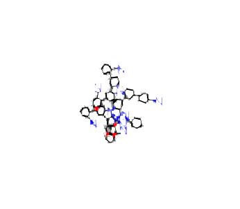 N#Cc1ccc(-c2ccc(-n3c4ccc(-c5ccccc5C#N)cc4c4cc(-c5ccccc5C#N)ccc43)c(-c3ccc(-n4c5ccc(-c6ccccc6C#N)cc5c5cc(-c6ccccc6C#N)ccc54)c(-c4nc(-c5ccccc5)nc(-c5ccccc5)n4)c3)c2)cc1